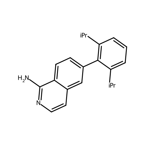 CC(C)c1cccc(C(C)C)c1-c1ccc2c(N)nccc2c1